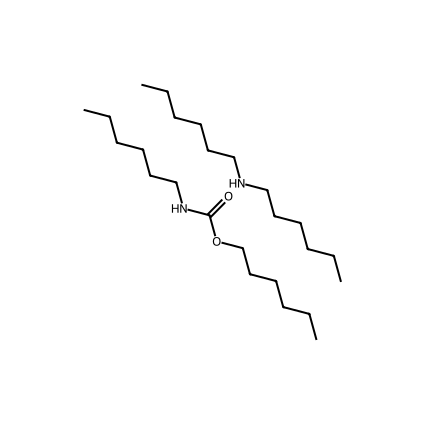 CCCCCCNC(=O)OCCCCCC.CCCCCCNCCCCCC